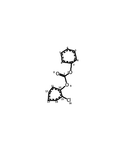 O=C(Oc1ccccc1)Oc1ccccc1Cl